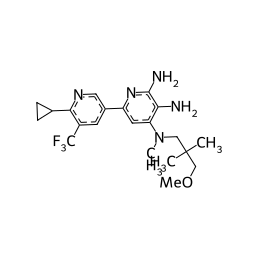 COCC(C)(C)CN(C)c1cc(-c2cnc(C3CC3)c(C(F)(F)F)c2)nc(N)c1N